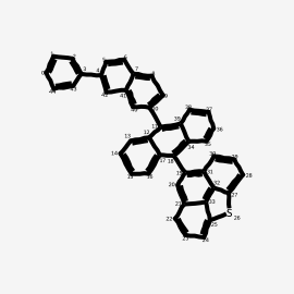 c1ccc(-c2ccc3ccc(-c4c5ccccc5c(-c5cc6cccc7sc8cccc5c8c67)c5ccccc45)cc3c2)cc1